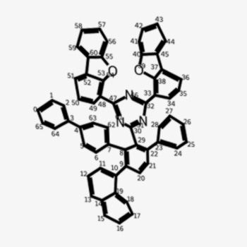 c1ccc(-c2ccc(-c3c(-c4cccc5ccccc45)ccc(-c4ccccc4)c3-c3nc(-c4cccc5c4oc4ccccc45)nc(-c4cccc5c4oc4ccccc45)n3)cc2)cc1